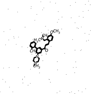 COc1ccc(C=CC(=O)c2cc(-c3ccccc3C)cc(N3CCN(C)CC3)c2)c(CN(C)C)c1